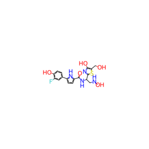 O=C(NC(CNO)c1nc(O)c(CO)s1)c1ccc(-c2ccc(O)c(F)c2)[nH]1